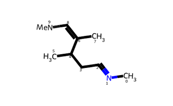 C/N=C/CC(C)/C(C)=C\NC